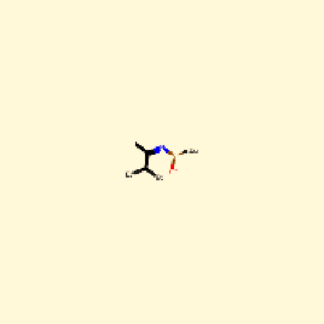 CCC(CC)/C(C)=N\[S@+]([O-])C(C)(C)C